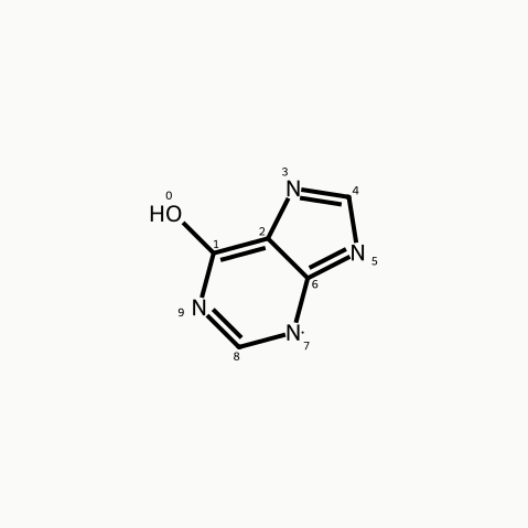 OC1=C2N=CN=C2[N]C=N1